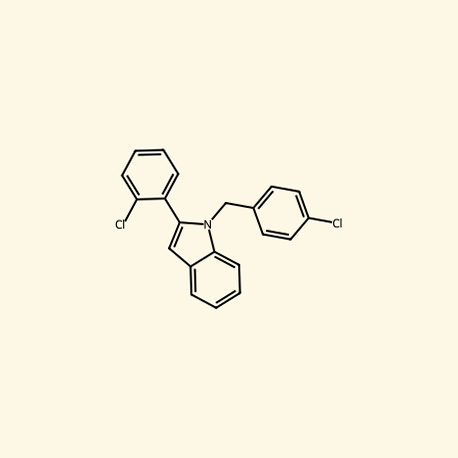 Clc1ccc(Cn2c(-c3ccccc3Cl)cc3ccccc32)cc1